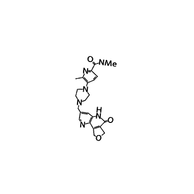 CNC(=O)c1ccc(N2CCN(Cc3cnc4c5c(c(=O)[nH]c4c3)COC5)CC2)c(C)n1